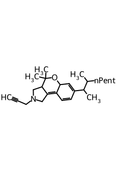 C#CCN1CC2=C3C=CC(C(C)C(C)CCCCC)=CC3OC(C)(C)C2C1